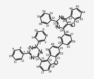 c1ccc(-c2nc(-c3ccccc3)nc(-c3cccc4oc5cc(-c6cccc(-c7nc(-c8ccccc8)nc8c7oc7ccccc78)c6)ccc5c34)n2)cc1